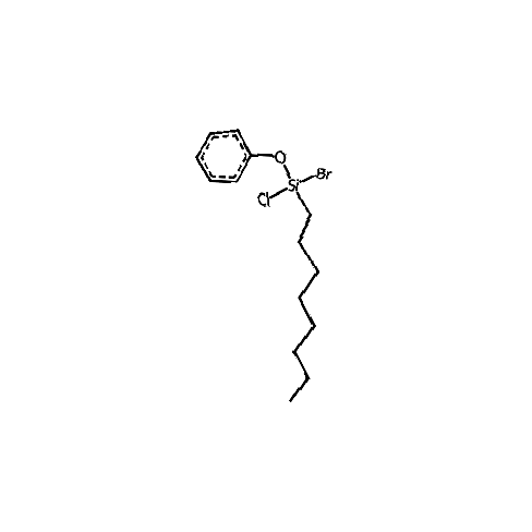 CCCCCCCC[Si](Cl)(Br)Oc1ccccc1